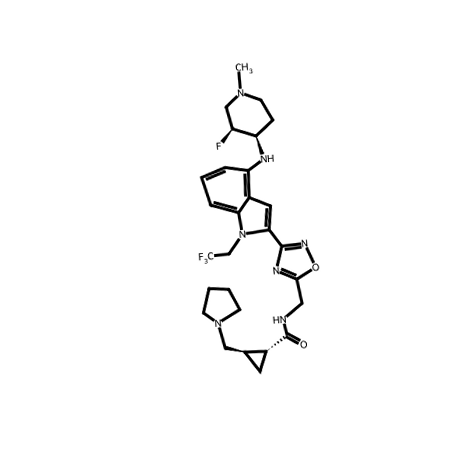 CN1CC[C@@H](Nc2cccc3c2cc(-c2noc(CNC(=O)[C@@H]4C[C@H]4CN4CCCC4)n2)n3CC(F)(F)F)[C@@H](F)C1